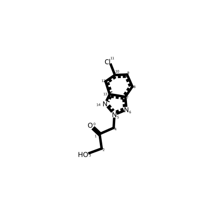 O=C(CO)Cn1nc2ccc(Cl)cc2n1